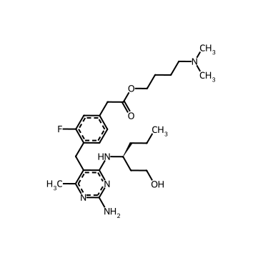 CCC[C@@H](CCO)Nc1nc(N)nc(C)c1Cc1ccc(CC(=O)OCCCCN(C)C)cc1F